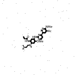 C=CC(=O)Nc1cc(Nc2nccc(-c3cc(C(C)=O)c(NC)nn3)n2)c(OC)cc1N(C)CCN(C)C